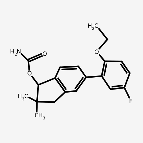 CCOc1ccc(F)cc1-c1ccc2c(c1)CC(C)(C)C2OC(N)=O